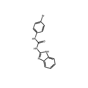 O=C(Nc1ccc(Br)cc1)Nc1nc2ccccc2[nH]1